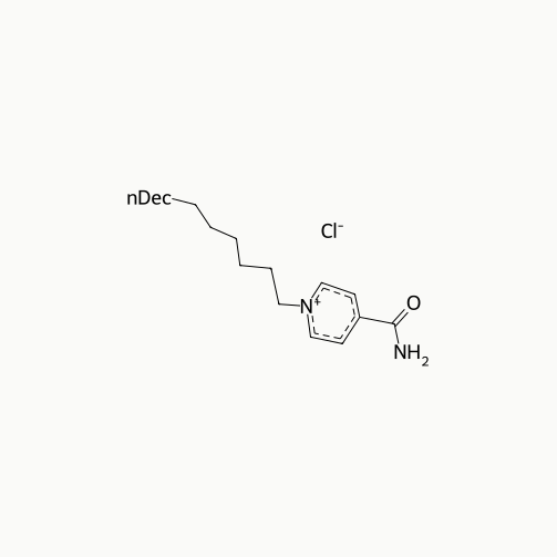 CCCCCCCCCCCCCCCC[n+]1ccc(C(N)=O)cc1.[Cl-]